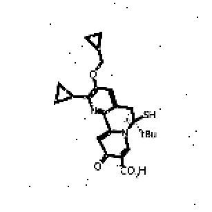 CC(C)(C)[C@@]1(S)Cc2cc(OCC3CC3)c(C3CC3)nc2-c2cc(=O)c(C(=O)O)cn21